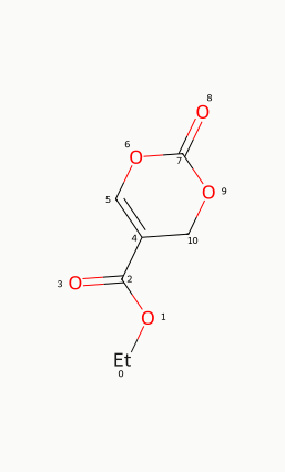 CCOC(=O)C1=COC(=O)OC1